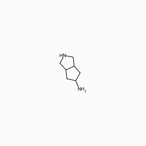 NC1CC2CNCC2C1